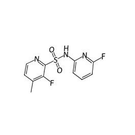 Cc1ccnc(S(=O)(=O)Nc2cccc(F)n2)c1F